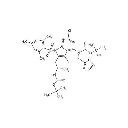 Cc1cc(C)c(S(=O)(=O)n2c(C[C@H](C)NC(=O)OC(C)(C)C)c(F)c3c(N(Cc4ccco4)C(=O)OC(C)(C)C)nc(Cl)nc32)c(C)c1